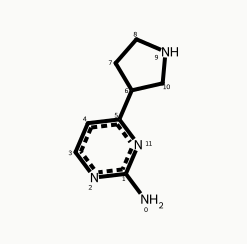 Nc1nccc(C2CCNC2)n1